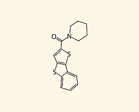 O=C(c1cc2sc3ccccc3c2s1)N1CCCCC1